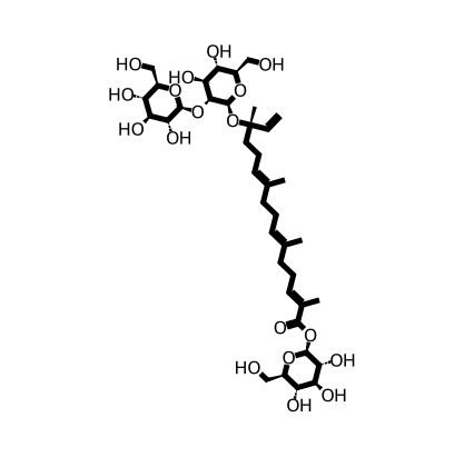 C=C[C@](C)(CC/C=C(\C)CC/C=C(\C)CC/C=C(\C)C(=O)O[C@@H]1O[C@H](CO)[C@@H](O)[C@H](O)[C@H]1O)O[C@@H]1O[C@H](CO)[C@@H](O)[C@H](O)[C@H]1O[C@@H]1O[C@H](CO)[C@@H](O)[C@H](O)[C@H]1O